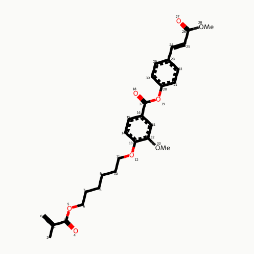 C=C(C)C(=O)OCCCCCCOc1ccc(C(=O)Oc2ccc(/C=C/C(=O)OC)cc2)cc1OC